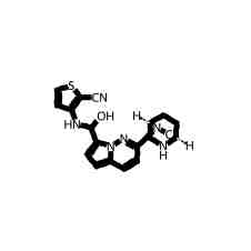 N#Cc1sccc1NC(O)c1ccc2ccc(N3C[C@H]4CC[C@@H]3CN4)nn12